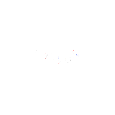 CCOC(=O)CCNC(=O)c1ccc(C(N)=O)s1